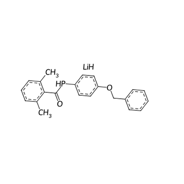 Cc1cccc(C)c1C(=O)Pc1ccc(OCc2ccccc2)cc1.[LiH]